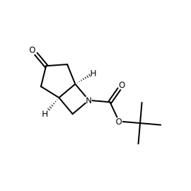 CC(C)(C)OC(=O)N1C[C@H]2CC(=O)C[C@H]21